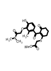 COC(=O)CSC1=C(C(=O)c2ccc(S)c(OCC(=O)N(C)C)c2C)C(=O)CCC1